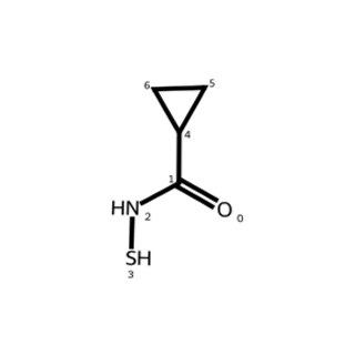 O=C(NS)C1CC1